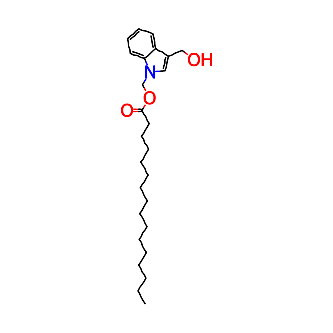 CCCCCCCCCCCCCCCC(=O)OCn1cc(CO)c2ccccc21